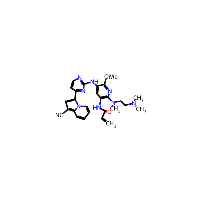 C=CC(=O)Nc1cc(Nc2nccc(-c3cc(C#N)c4ccccn34)n2)c(OC)nc1N(C)CCN(C)C